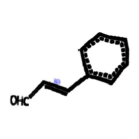 O=C/C=C/c1[c]cccc1